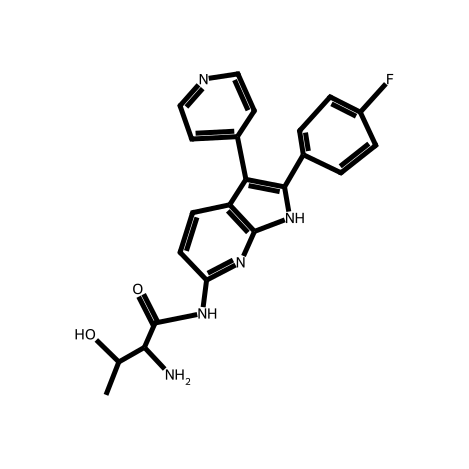 CC(O)C(N)C(=O)Nc1ccc2c(-c3ccncc3)c(-c3ccc(F)cc3)[nH]c2n1